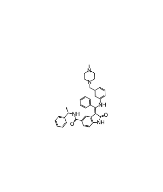 C[C@@H](NC(=O)c1ccc2c(c1)/C(=C(/Nc1cccc(CN3CCN(C)CC3)c1)c1ccccc1)C(=O)N2)c1ccccc1